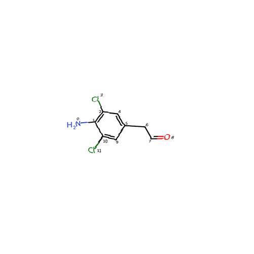 Nc1c(Cl)cc(CC=O)cc1Cl